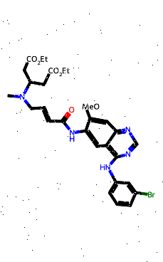 CCOC(=O)CC(CC(=O)OCC)N(C)CC=CC(=O)Nc1cc2c(Nc3cccc(Br)c3)ncnc2cc1OC